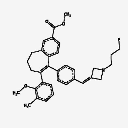 COC(=O)c1ccc2c(c1)CCCC(c1cccc(C)c1OC)=C2c1ccc(C=C2CN(CCCF)C2)cc1